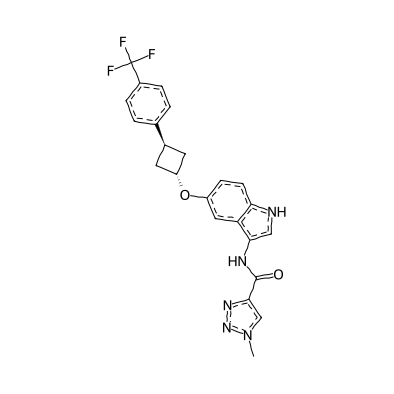 Cn1cc(C(=O)Nc2c[nH]c3ccc(O[C@H]4C[C@H](c5ccc(C(F)(F)F)cc5)C4)cc23)nn1